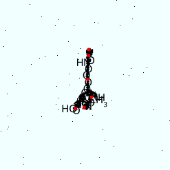 C[C@]1(CC(=O)Nc2nccs2)NCCc2cc(OCCOCCOCCOCCNC(=O)CC34CC5CC(CC3C5)C4)c(Oc3ccc(-c4ccc(C(=O)O)cc4)c(F)c3)cc21